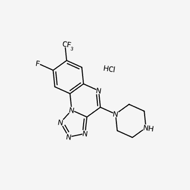 Cl.Fc1cc2c(cc1C(F)(F)F)nc(N1CCNCC1)c1nnnn12